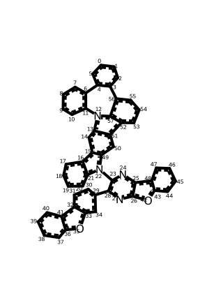 c1ccc2c(c1)-c1ccccc1-n1c3cc4c5ccccc5n(-c5nc6c(nc5-c5ccc7c(c5)oc5ccccc57)oc5ccccc56)c4cc3c3cccc-2c31